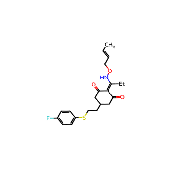 CC=CCONC(CC)=C1C(=O)CC(CCSc2ccc(F)cc2)CC1=O